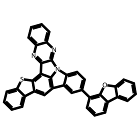 c1ccc2nc3c(nc2c1)c1c2sc4ccccc4c2cc2c4cc(-c5cccc6c5oc5ccccc56)ccc4n3c21